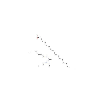 CCCCCCCCCCCCCCCC(=O)O.CCCCCNC(C)N(CC)CC